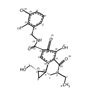 CCN1C[C@@]2(C[C@@H]2CO)n2cc(C(=O)NCc3cccc(Cl)c3F)c(=O)c(O)c2C1=O